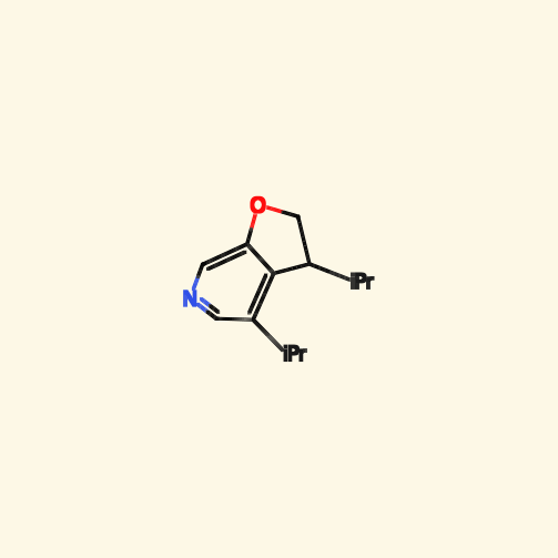 CC(C)c1cncc2c1C(C(C)C)CO2